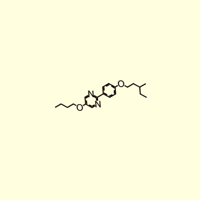 CCCCOc1cnc(-c2ccc(OCCC(C)CC)cc2)nc1